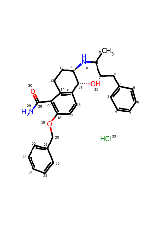 CC(CCc1ccccc1)N[C@@H]1CCc2c(ccc(OCc3ccccc3)c2C(N)=O)[C@H]1O.Cl